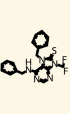 FC(F)n1c(=S)n(Cc2ccccc2)c2c(NCc3ccccc3)ncnc21